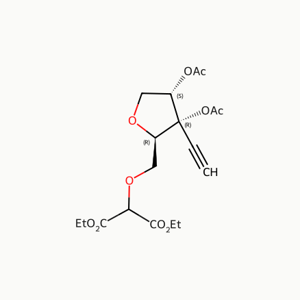 C#C[C@]1(OC(C)=O)[C@@H](OC(C)=O)CO[C@@H]1COC(C(=O)OCC)C(=O)OCC